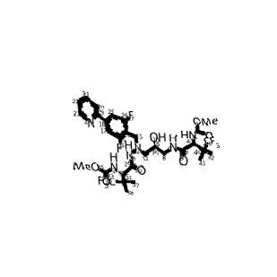 COC(=O)NC(C(=O)NC[C@@H](O)CN(Cc1c(F)cc(-c2ccccn2)cc1F)NC(=O)[C@@H](NC(=O)OC)C(C)(C)C(F)(F)F)C(C)(C)C(F)(F)F